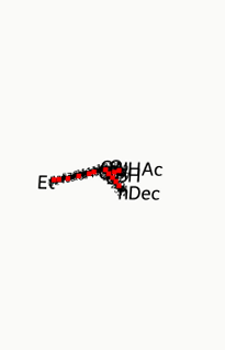 CCC=CCC=CCC=CCC=CCC=CCC=CCCC(=O)OC(COCCCCCCCCCCCCCCCC)COC(=O)C(CS)NC(C)=O